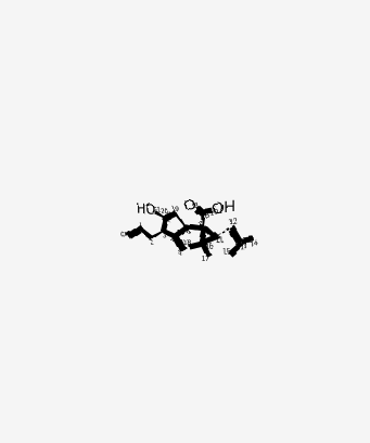 C=CC[C@@H]1C(=C)[C@H]([C@]2(C(=O)O)[C@H](C=C(C)C)C2(C)C)C[C@@H]1O